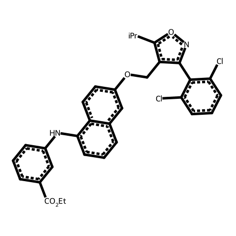 CCOC(=O)c1cccc(Nc2cccc3cc(OCc4c(-c5c(Cl)cccc5Cl)noc4C(C)C)ccc23)c1